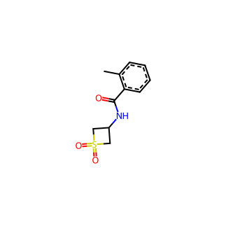 Cc1ccccc1C(=O)NC1CS(=O)(=O)C1